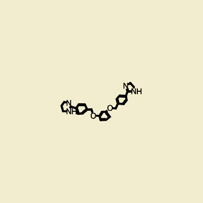 c1cc(OCc2ccc(C3=NCCCN3)cc2)cc(OCc2ccc(C3=NCCN3)cc2)c1